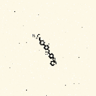 CCCC1CCC(C2CCC(CC(=O)c3ccc(OC4CCCCO4)cc3)CC2)CC1